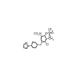 Cc1c(Cl)c(Cc2ccc(-n3cccn3)cc2)cc(C(=O)O)c1OS(=O)(=O)C(F)(F)F